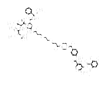 CC[C@H](NC(=O)[C@H]1C[C@@H](NC(=O)CCOCCOCCC(=O)N2CCN(C(=O)c3ccc(NC(=O)c4cnc(N)c(O[C@H](C)c5c(F)ccc(Cl)c5F)c4)cc3)CC2)CN1C(=O)[C@H](NC(=O)[C@@H](C)NC)C(C)(C)C)c1ccccc1